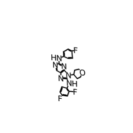 Fc1ccc(Nc2ncc3nc(Nc4ccc(F)cc4F)n(C4CCOCC4)c3n2)cc1